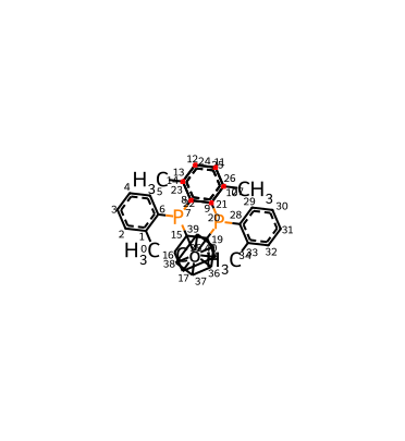 Cc1ccccc1P(c1ccccc1C)[C]12[CH]3[CH]4[CH]5[C]1(P(c1ccccc1C)c1ccccc1C)[Co]43521678[CH]2[CH]1[CH]6[CH]7[CH]28